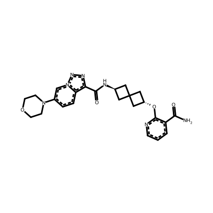 NC(=O)c1cccnc1O[C@H]1CC2(C[C@H](NC(=O)c3nnn4cc(N5CCOCC5)ccc34)C2)C1